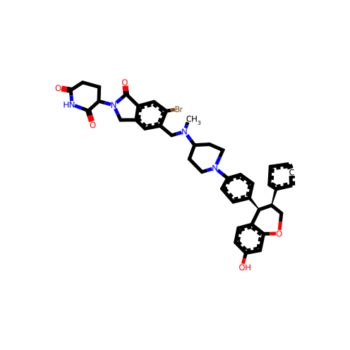 CN(Cc1cc2c(cc1Br)C(=O)N(C1CCC(=O)NC1=O)C2)C1CCN(c2ccc([C@@H]3c4ccc(O)cc4OC[C@@H]3c3ccccc3)cc2)CC1